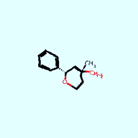 C[C@@]1(O)CCO[C@H](c2ccccc2)C1